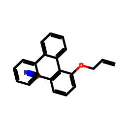 C=CCOc1cccc(C#N)c1-c1ccccc1-c1ccccc1